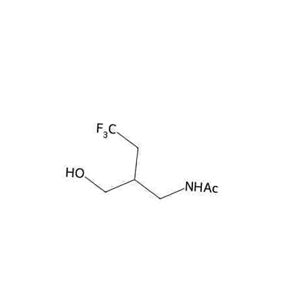 CC(=O)NCC(CO)CC(F)(F)F